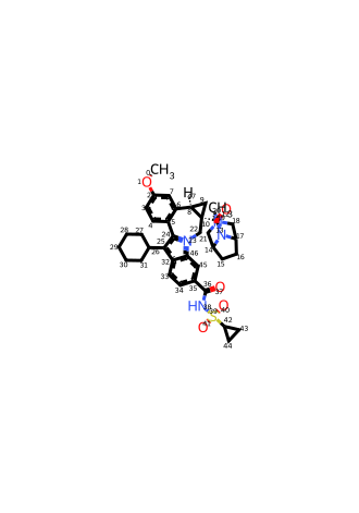 COc1ccc2c(c1)[C@H]1C[C@@]1(C(=O)N1C3CCC1CN(C)C3)Cn1c-2c(C2CCCCC2)c2ccc(C(=O)NS(=O)(=O)C3CC3)cc21